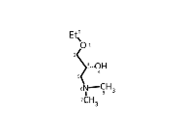 CCOC[C@H](O)CN(C)C